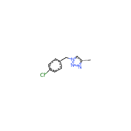 Cc1cn(Cc2ccc(Cl)cc2)nn1